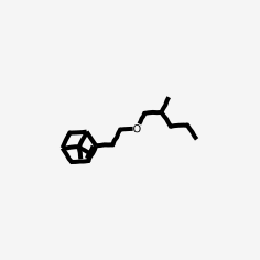 CCCC(C)COCCC1=CCC2CC1C2(C)C